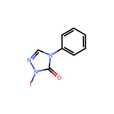 O=c1n(-c2ccccc2)cnn1I